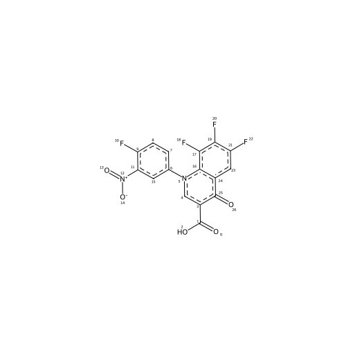 O=C(O)c1cn(-c2ccc(F)c([N+](=O)[O-])c2)c2c(F)c(F)c(F)cc2c1=O